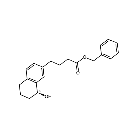 O=C(CCCc1ccc2c(c1)[C@@H](O)CCC2)OCc1ccccc1